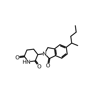 CCCC(C)c1ccc2c(c1)CN(C1CCC(=O)NC1=O)C2=O